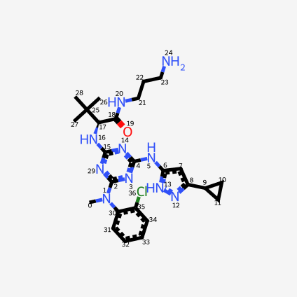 CN(c1nc(Nc2cc(C3CC3)n[nH]2)nc(N[C@H](C(=O)NCCCN)C(C)(C)C)n1)c1ccccc1Cl